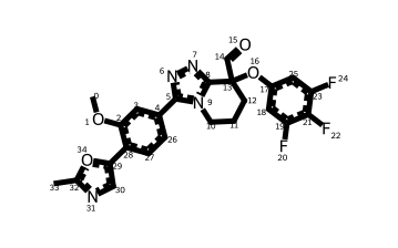 COc1cc(-c2nnc3n2CCCC3(C=O)Oc2cc(F)c(F)c(F)c2)ccc1-c1cnc(C)o1